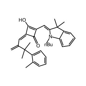 C=C(/C=C1\C(=O)C(/C=C2\N(CCCC)c3ccccc3C2(C)C)=C1O)C(C)(C)c1ccccc1C